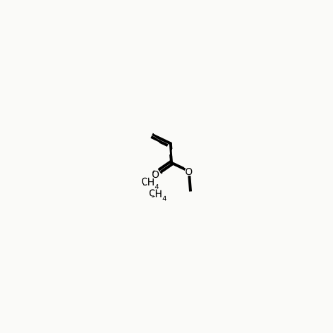 C.C.C=CC(=O)OC